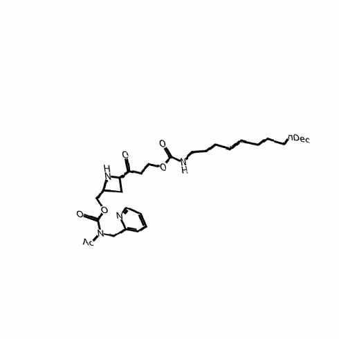 CCCCCCCCCCCCCCCCCCNC(=O)OCCC(=O)C1CC(COC(=O)N(Cc2ccccn2)C(C)=O)N1